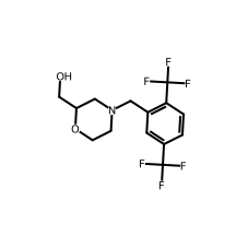 OCC1CN(Cc2cc(C(F)(F)F)ccc2C(F)(F)F)CCO1